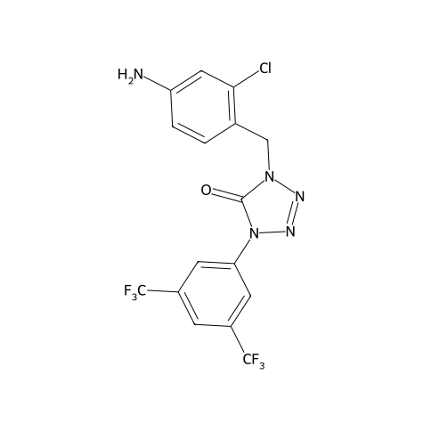 Nc1ccc(Cn2nnn(-c3cc(C(F)(F)F)cc(C(F)(F)F)c3)c2=O)c(Cl)c1